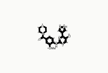 COc1cc(C(=O)N2CCOCC2)ccc1Nc1ncc(Cl)c(-c2cn[nH]c2)n1